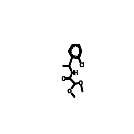 COC(OC)C(=O)NC(C)c1ccccc1Cl